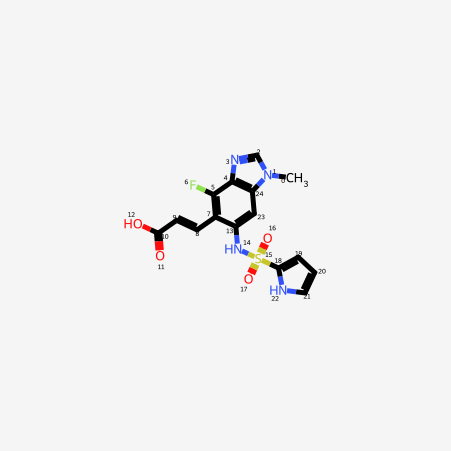 Cn1cnc2c(F)c(C=CC(=O)O)c(NS(=O)(=O)c3ccc[nH]3)cc21